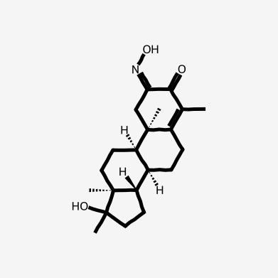 CC1=C2CC[C@@H]3[C@@H](CC[C@@]4(C)[C@H]3CCC4(C)O)[C@@]2(C)CC(=NO)C1=O